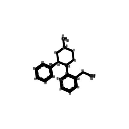 CN1CCN(c2ncccc2CO)[C@@H](c2ccccc2)C1